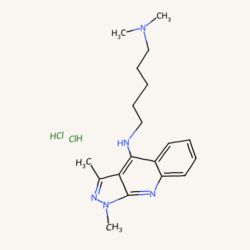 Cc1nn(C)c2nc3ccccc3c(NCCCCCN(C)C)c12.Cl.Cl